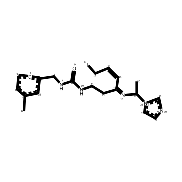 Cc1cccc(CNC(=O)NCCC(/C=C\CI)=N/C(C)n2ccnc2)c1